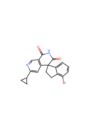 O=C1NC(=O)C2(CCc3c(Br)cccc32)c2cc(C3CC3)ncc21